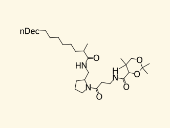 CCCCCCCCCCCCCCCCC(C)C(=O)NCC1CCCN1C(=O)CCNC(=O)C1OC(C)(C)OCC1(C)C